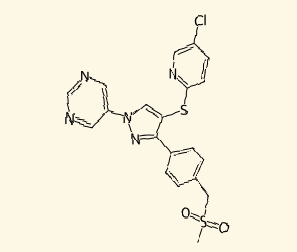 CS(=O)(=O)Cc1ccc(-c2nn(-c3cncnc3)cc2Sc2ccc(Cl)cn2)cc1